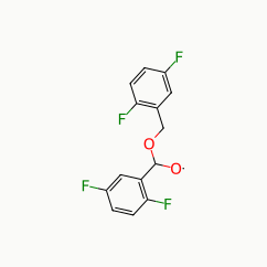 [O]C(OCc1cc(F)ccc1F)c1cc(F)ccc1F